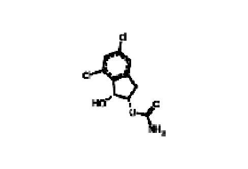 NC(=O)O[C@H]1Cc2cc(Cl)cc(Cl)c2[C@H]1O